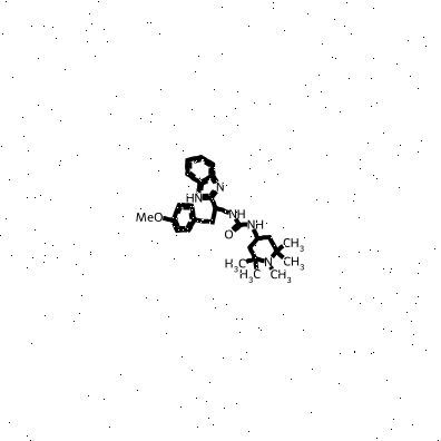 COc1ccc(CC(NC(=O)NC2CC(C)(C)N(C)C(C)(C)C2)c2nc3ccccc3[nH]2)cc1